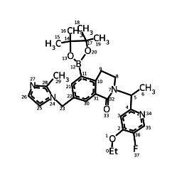 CCOc1cc(C(C)N2CCc3c(B4OC(C)(C)C(C)(C)O4)cc(Cn4ccnc4C)cc3C2=O)ncc1F